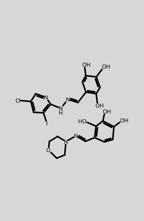 Oc1cc(O)c(/C=N/Nc2ncc(Cl)cc2I)cc1O.Oc1ccc(/C=N/N2CCOCC2)c(O)c1O